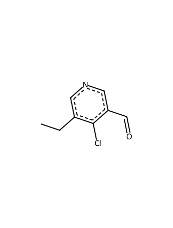 CCc1cncc(C=O)c1Cl